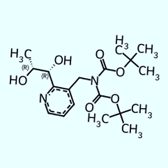 C[C@@H](O)[C@H](O)c1ncccc1CN(C(=O)OC(C)(C)C)C(=O)OC(C)(C)C